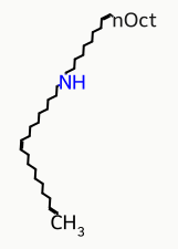 CC=CCCCCCCC/C=C\CCCCCCCCNCCCCCCCC/C=C\CCCCCCCC